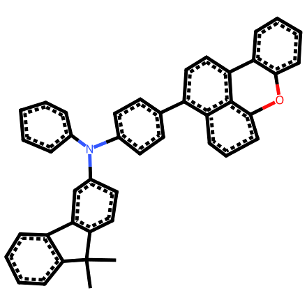 CC1(C)c2ccccc2-c2cc(N(c3ccccc3)c3ccc(-c4ccc5c6c(cccc46)Oc4ccccc4-5)cc3)ccc21